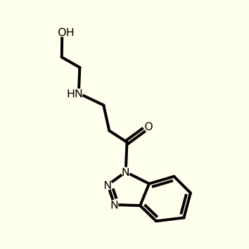 O=C(CCNCCO)n1nnc2ccccc21